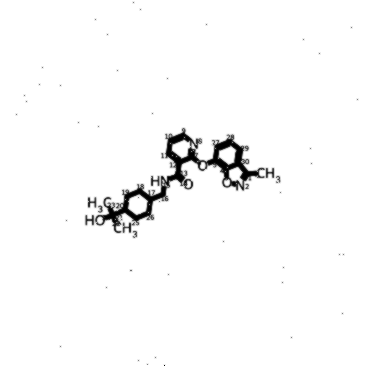 Cc1noc2c(Oc3ncccc3C(=O)NCC3CCC(C(C)(C)O)CC3)cccc12